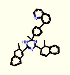 CC1Cc2ccccc2C=C1C1=NC(C2C=Cc3ccccc3C2C)=NC(C)(c2ccc(-c3cccc4cccnc34)cc2)N1